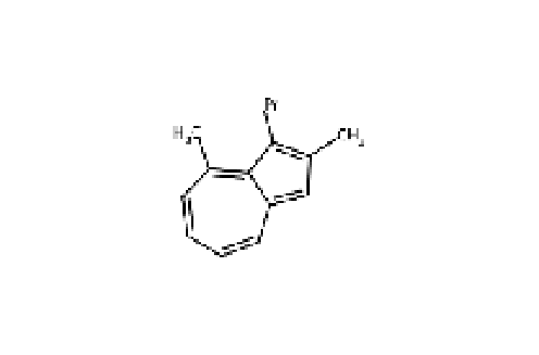 Cc1[c]c2ccccc(C)c-2c1C(C)C